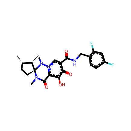 C[C@H]1CC[C@]2([C@H]1C)N(C)C(=O)c1c(O)c(=O)c(C(=O)NCc3ccc(F)cc3F)cn1N2C